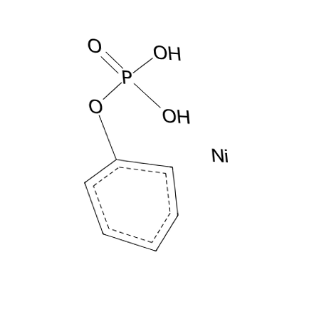 O=P(O)(O)Oc1ccccc1.[Ni]